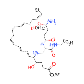 CC/C=C\C[C@H](O)/C=C/C=C\C\C=C/C=C/C=C/[C@@H](NC[C@H](NC(=O)CC[C@H](N)OC=O)C(=O)NCC(=O)O)[C@@H](O)CCC(=O)OC